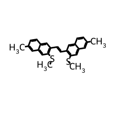 CSc1cc2cc(C)ccc2cc1C=Cc1cc2ccc(C)cc2cc1SC